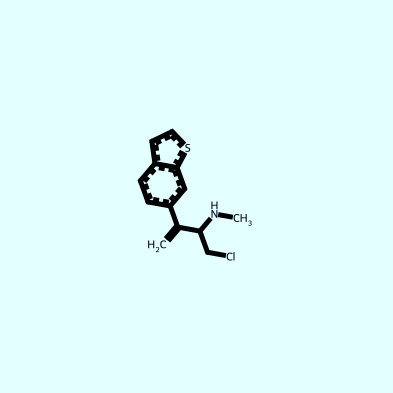 C=C(c1ccc2ccsc2c1)C(CCl)NC